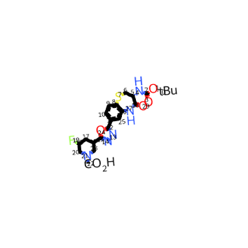 CC(C)(C)OC(=O)N[C@H]1CSc2ccc(-c3nnc(C4CC(F)CN(C(=O)O)C4)o3)cc2NC1=O